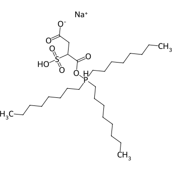 CCCCCCCC[PH](CCCCCCCC)(CCCCCCCC)OC(=O)C(CC(=O)[O-])S(=O)(=O)O.[Na+]